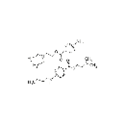 CCCCNc1ccc(C(=O)OCCN(C)C)cc1.CCN(CC)CCOC(=O)c1ccc(N)cc1